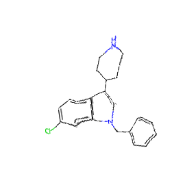 Clc1ccc2c(C3CCNCC3)[c]n(Cc3ccccc3)c2c1